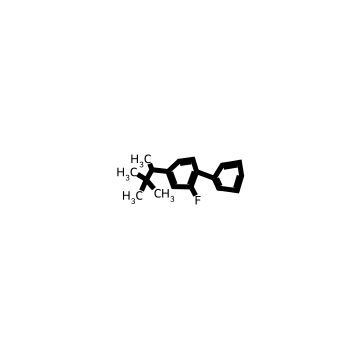 CC(c1ccc(-c2ccccc2)c(F)c1)C(C)(C)C